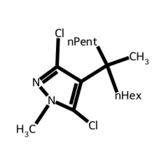 CCCCCCC(C)(CCCCC)c1c(Cl)nn(C)c1Cl